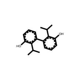 CC(C)c1c(O)cccc1-c1cccc(O)c1C(C)C